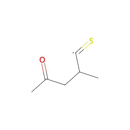 CC(=O)CC(C)[C]=S